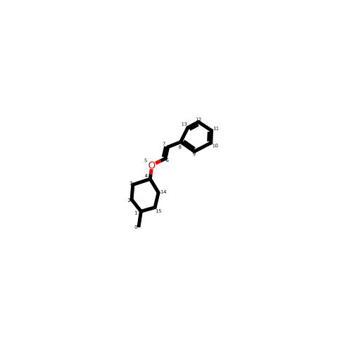 CC1CCC(OC=Cc2ccccc2)CC1